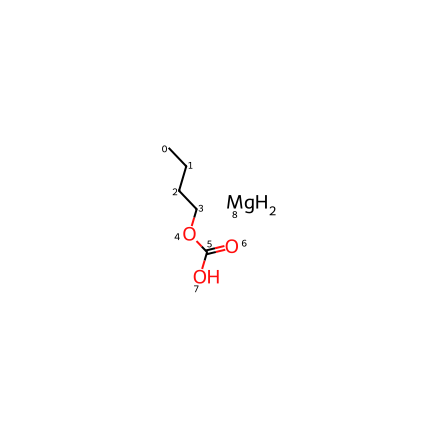 CCCCOC(=O)O.[MgH2]